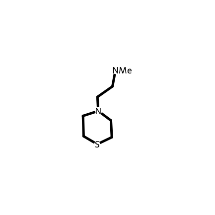 CNCCN1CCSCC1